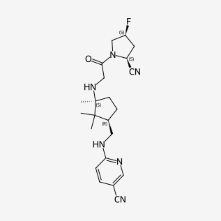 CC1(C)[C@H](CNc2ccc(C#N)cn2)CC[C@]1(C)NCC(=O)N1C[C@@H](F)C[C@H]1C#N